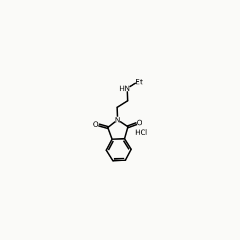 CCNCCN1C(=O)c2ccccc2C1=O.Cl